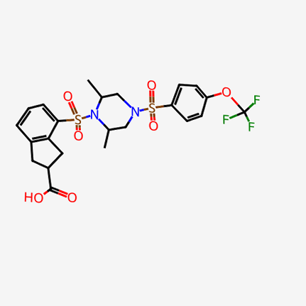 CC1CN(S(=O)(=O)c2ccc(OC(F)(F)F)cc2)CC(C)N1S(=O)(=O)c1cccc2c1CC(C(=O)O)C2